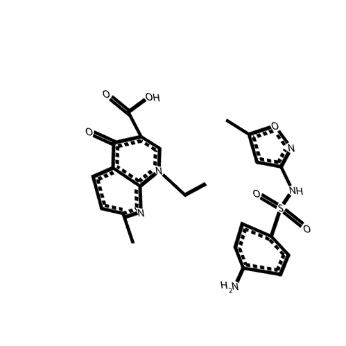 CCn1cc(C(=O)O)c(=O)c2ccc(C)nc21.Cc1cc(NS(=O)(=O)c2ccc(N)cc2)no1